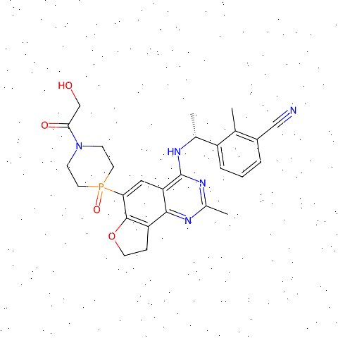 Cc1nc(N[C@H](C)c2cccc(C#N)c2C)c2cc(P3(=O)CCN(C(=O)CO)CC3)c3c(c2n1)CCO3